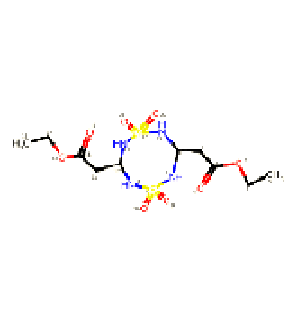 CCOC(=O)C[C@H]1NS(=O)(=O)N[C@@H](CC(=O)OCC)NS(=O)(=O)N1